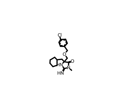 CN1C(=N)NC(COCc2ccc(Cl)cc2)(CC2CCCCC2)C1=O